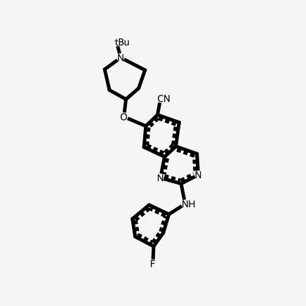 CC(C)(C)N1CCC(Oc2cc3nc(Nc4cccc(F)c4)ncc3cc2C#N)CC1